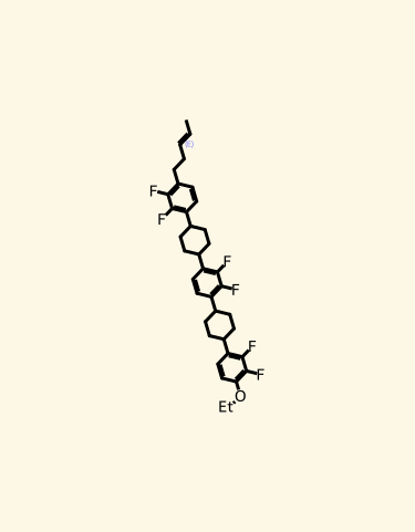 C/C=C/CCc1ccc(C2CCC(c3ccc(C4CCC(c5ccc(OCC)c(F)c5F)CC4)c(F)c3F)CC2)c(F)c1F